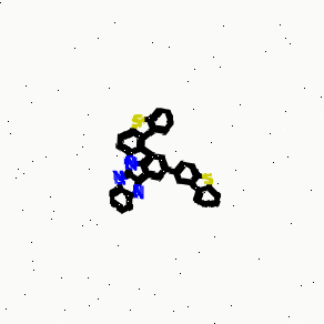 c1ccc2nc3c(nc2c1)c1cc(-c2ccc4sc5ccccc5c4c2)cc2c4c5c(ccc4n3c12)sc1ccccc15